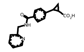 O=C(NCc1ccccn1)c1ccc(C2CC2C(=O)O)cc1